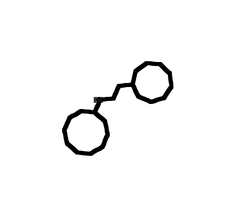 C1CCCCC(NCCC2CCCCCCCC2)CCCC1